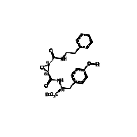 CCOC(=O)[C@H](Cc1ccc(OCC)cc1)NC(=O)[C@H]1O[C@@H]1C(=O)NCCc1ccccc1